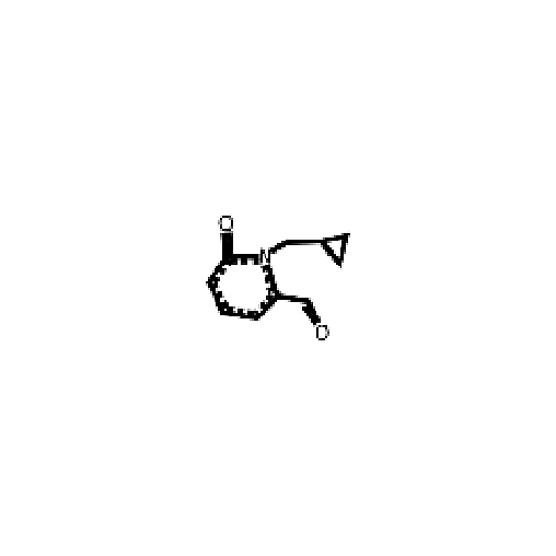 O=Cc1cccc(=O)n1CC1CC1